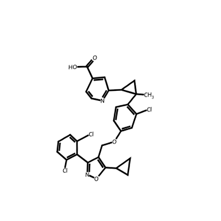 CC1(c2ccc(OCc3c(-c4c(Cl)cccc4Cl)noc3C3CC3)cc2Cl)CC1c1cc(C(=O)O)ccn1